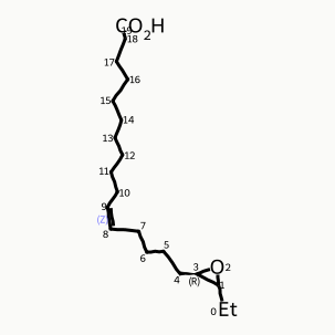 CCC1O[C@@H]1CCCC/C=C\CCCCCCCCCC(=O)O